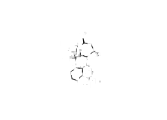 [2H]C([2H])([2H])c1cccc(C([2H])([2H])[2H])c1Oc1cn(C)c(=O)cc1Br